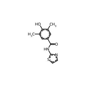 Cc1cc(C(=O)Nc2nccs2)cc(C)c1O